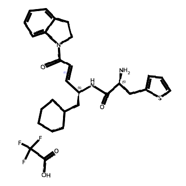 N[C@@H](Cc1cccs1)C(=O)N[C@H](/C=C/C(=O)N1CCc2ccccc21)CC1CCCCC1.O=C(O)C(F)(F)F